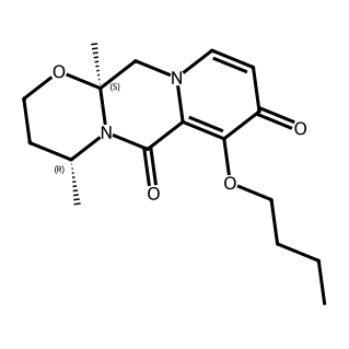 CCCCOc1c2n(ccc1=O)C[C@]1(C)OCC[C@@H](C)N1C2=O